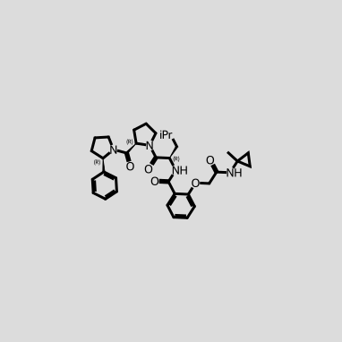 CC(C)C[C@@H](NC(=O)c1ccccc1OCC(=O)NC1(C)CC1)C(=O)N1CCC[C@@H]1C(=O)N1CCC[C@@H]1c1ccccc1